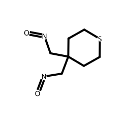 O=NCC1(CN=O)CCSCC1